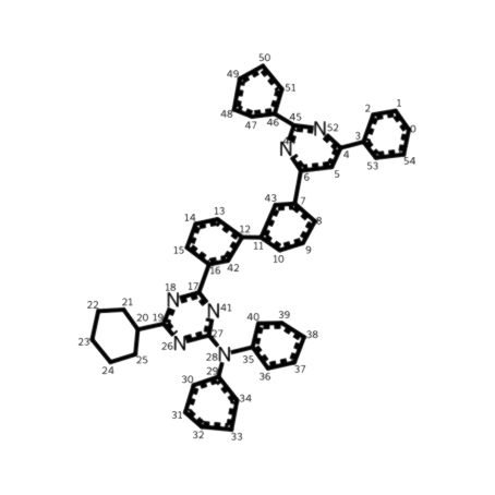 c1ccc(-c2cc(-c3cccc(-c4cccc(-c5nc(C6CCCCC6)nc(N(c6ccccc6)c6ccccc6)n5)c4)c3)nc(-c3ccccc3)n2)cc1